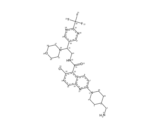 NCC1CCN(c2ccc3c(C(=O)NCC(c4cnc(C(F)(F)F)nc4)N4CCOCC4)c(Cl)ccc3n2)CC1